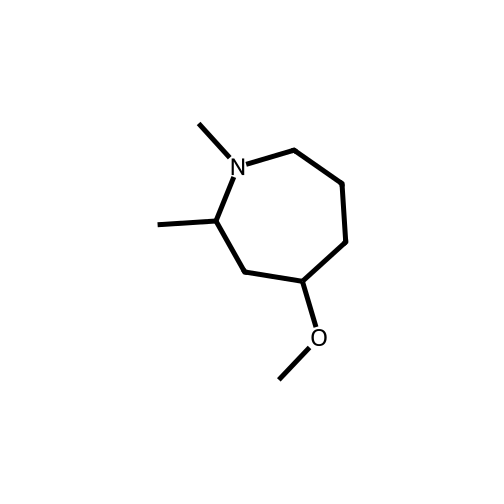 COC1CCCN(C)C(C)C1